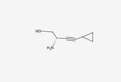 N[C@@H](C#CC1CC1)CO